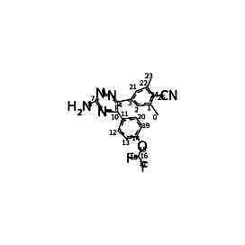 Cc1cc(-c2nnc(N)nc2-c2ccc(OC(F)F)cc2)cc(C)c1C#N